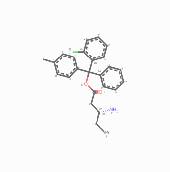 Cc1ccc(C(OC(=O)C[C@H](N)CC(C)C)(c2ccccc2)c2ccccc2Cl)cc1